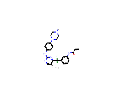 C=CC(=O)Nc1cccc(C(F)(F)c2nc(Nc3ccc(N4CCN(C)CC4)cc3)ncc2OC)c1